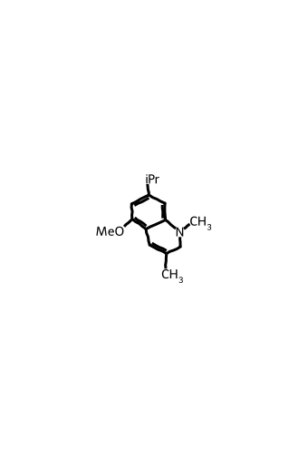 COc1cc(C(C)C)cc2c1C=C(C)CN2C